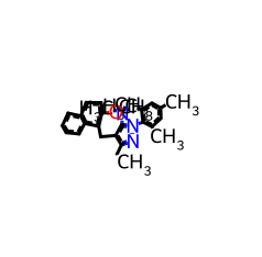 CCc1nn(-c2c(C)cc(C)cc2C)c(N(C)C)c1Cc1c(OC)ccc2ccccc12